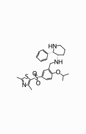 Cc1nc(C)c(S(=O)(=O)c2ccc(OC(C)C)c(CN[C@H]3CCCN[C@H]3c3ccccc3)c2)s1